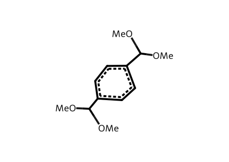 COC(OC)c1ccc(C(OC)OC)cc1